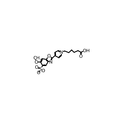 COc1cc2oc(-c3cc[n+](CCCCCC(=O)O)cc3)nc2cc1S(=O)(=O)[O-]